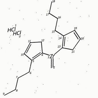 Cl.Cl.[CH2]=[Zr]([C]1=C(CCCC)C=CC1)[C]1=C(CCCC)C=CC1